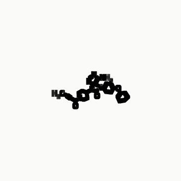 CC#CC(=O)N1CCC(n2c(=O)n(-c3ccc(Oc4ccccc4)cc3)c3c(N)ncnc32)CC1